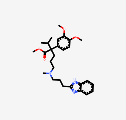 COC(=O)C(CCCN(C)CCCc1nc2ccccc2[nH]1)(c1ccc(OC)c(OC)c1)C(C)C